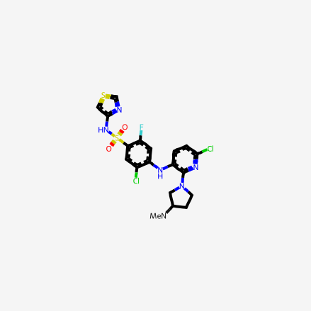 CNC1CCN(c2nc(Cl)ccc2Nc2cc(F)c(S(=O)(=O)Nc3cscn3)cc2Cl)C1